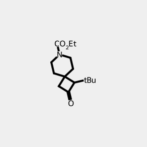 CCOC(=O)N1CCC2(CC1)CC(=O)C2C(C)(C)C